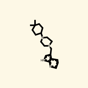 CC1(C)CCC(N2CCN(Cc3c[nH]c4ncccc34)CC2)CC1